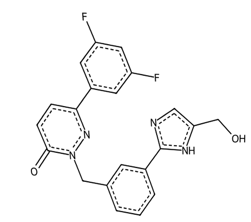 O=c1ccc(-c2cc(F)cc(F)c2)nn1Cc1cccc(-c2ncc(CO)[nH]2)c1